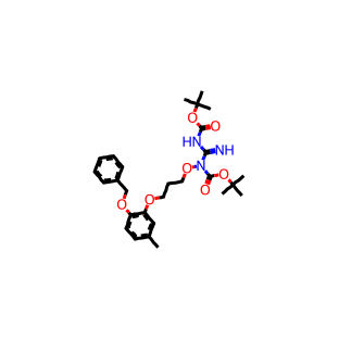 Cc1ccc(OCc2ccccc2)c(OCCCON(C(=N)NC(=O)OC(C)(C)C)C(=O)OC(C)(C)C)c1